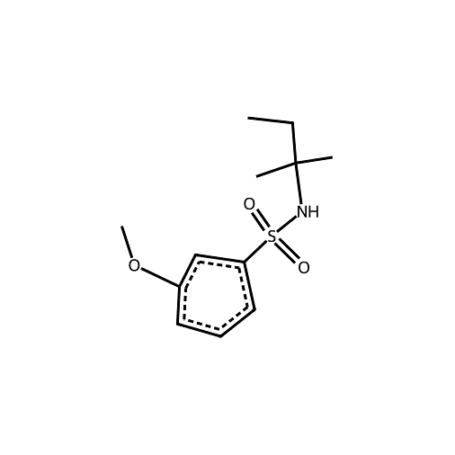 CCC(C)(C)NS(=O)(=O)c1cccc(OC)c1